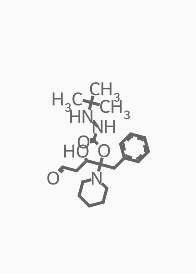 CC(C)(C)NNC(=O)OC(Cc1ccccc1)(C(O)CC=O)N1CCCCC1